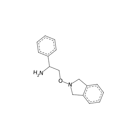 NC(CON1Cc2ccccc2C1)c1ccccc1